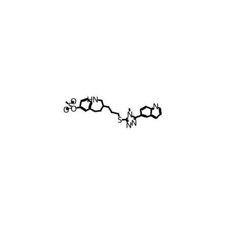 Cn1c(SCCCC2CCc3cc(OS(C)(=O)=O)ccc3NC2)nnc1-c1ccc2ncccc2c1